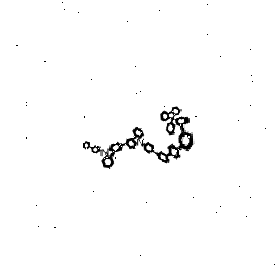 c1ccc(-c2ccc(-n3c4ccccc4c4cc(-c5ccc6c(c5)c5ccccc5n6-c5ccc(-c6cccc(-c7ccc(-c8cccc(-c9cccc(C%10(c%11ccccc%11)c%11ccccc%11-c%11ccccc%11%10)c9)c8)cc7)c6)cc5)ccc43)cc2)cc1